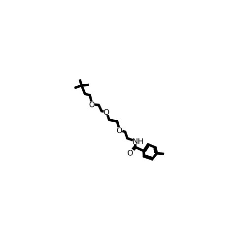 Cc1ccc(C(=O)NCCOCCOCCOCCC(C)(C)C)cc1